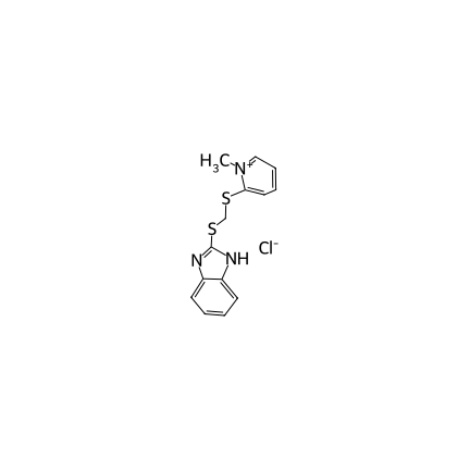 C[n+]1ccccc1SCSc1nc2ccccc2[nH]1.[Cl-]